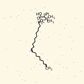 C=CCCCCCC/C=C\CCCCCCCCCCOP(=O)(O)C(CCC)[N+](C)(C)C